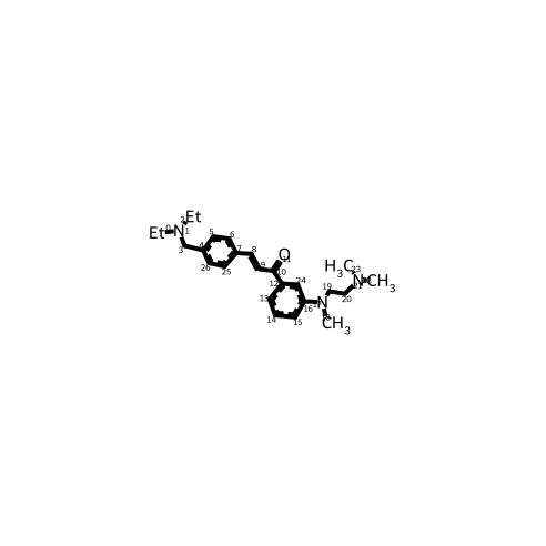 CCN(CC)Cc1ccc(C=CC(=O)c2cccc(N(C)CCN(C)C)c2)cc1